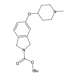 CN1CCC(Oc2ccc3c(c2)CN(C(=O)OC(C)(C)C)C3)CC1